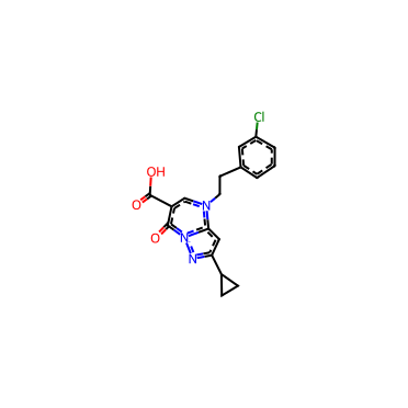 O=C(O)c1cn(CCc2cccc(Cl)c2)c2cc(C3CC3)nn2c1=O